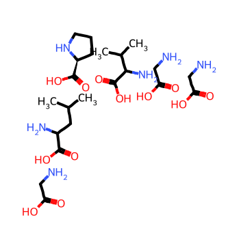 CC(C)C(N)C(=O)O.CC(C)CC(N)C(=O)O.NCC(=O)O.NCC(=O)O.NCC(=O)O.O=C(O)[C@@H]1CCCN1